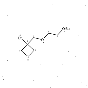 CCC1(COCCOCC(C)C)COC1